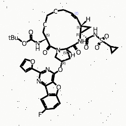 CC(C)(C)OC(=O)N[C@H]1CCCCC/C=C\[C@@H]2C[C@@]2(C(=O)NS(=O)(=O)C2CC2)NC(=O)[C@@H]2C[C@@H](Oc3nc(-c4ccco4)nc4c3oc3ccc(F)cc34)CN2C1=O